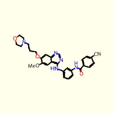 COc1cc2c(Nc3cccc(NC(=O)c4ccc(C#N)cc4)c3)ncnc2cc1OCCCN1CCOCC1